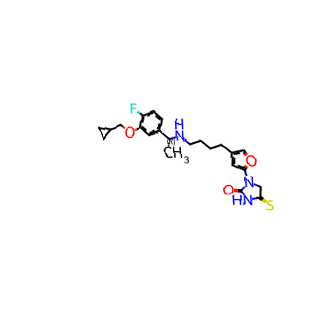 C[C@@H](NCCCCc1coc(N2CC(=S)NC2=O)c1)c1ccc(F)c(OCC2CC2)c1